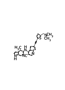 Cc1c(Nc2c(C#N)cnc3sc(C#Cc4ccc(CN(C)C)s4)cc23)ccc2[nH]ccc12